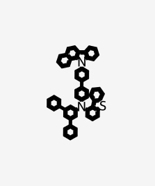 c1ccc(-c2cc(-c3ccccc3)cc(N(c3ccc(-c4ccc(-n5c6ccccc6c6ccc7ccccc7c65)cc4)cc3)c3cccc4sc5ccccc5c34)c2)cc1